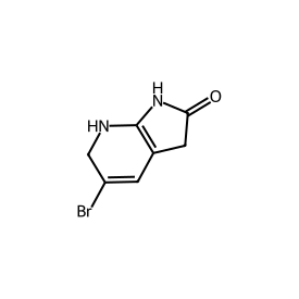 O=C1CC2=C(NCC(Br)=C2)N1